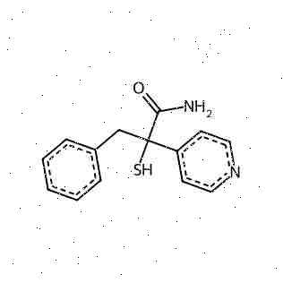 NC(=O)C(S)(Cc1ccccc1)c1ccncc1